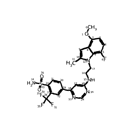 COc1ccc(F)c2c1cc(C)n2CCNc1cc(-c2ccc(S(N)(=O)=O)c(C(F)(F)F)c2)ncn1